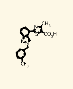 Cc1nc(-c2cccc3nn(Cc4cccc(C(F)(F)F)c4)cc23)sc1C(=O)O